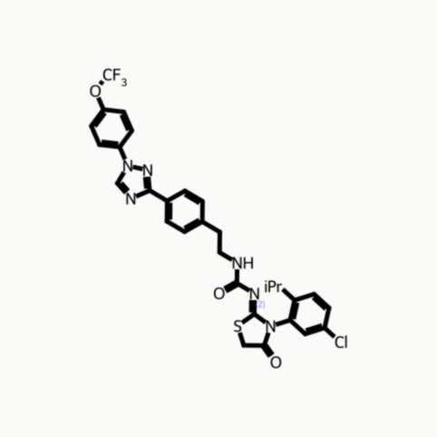 CC(C)c1ccc(Cl)cc1N1C(=O)CS/C1=N\C(=O)NCCc1ccc(-c2ncn(-c3ccc(OC(F)(F)F)cc3)n2)cc1